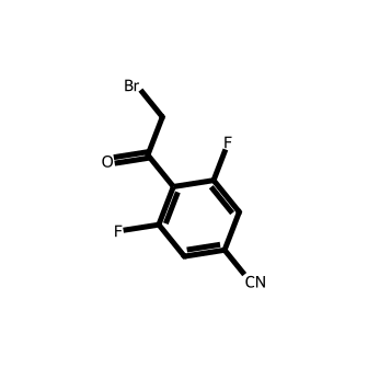 N#Cc1cc(F)c(C(=O)CBr)c(F)c1